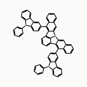 c1ccc(-n2c3ccccc3c3cc(-c4c5ccccc5cc5c4c4cccc6c7c(-c8ccc9c(c8)c8ccccc8n9-c8ccccc8)c8ccccc8cc7n5c46)ccc32)cc1